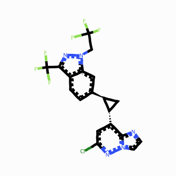 FC(F)(F)Cn1nc(C(F)(F)F)c2ccc([C@H]3C[C@@H]3c3cc(Cl)nn4ccnc34)cc21